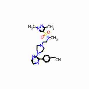 Cc1nn(C)cc1S(=O)(=O)N(C)CCN1CCN(c2nccnc2-c2ccc(CC#N)cc2)CC1